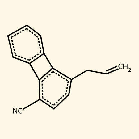 C=CCc1ccc(C#N)c2c1-c1ccccc1-2